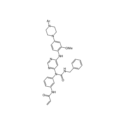 C=CC(=O)Nc1cccc(N(C(=O)NCc2ccccc2)c2cc(Nc3ccc(N4CCN(C(C)=O)CC4)cc3OC)ncn2)c1